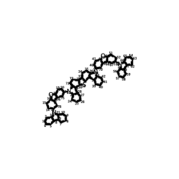 c1ccc2c(c1)c1ccccc1n2-c1ccc2oc3ccc(-n4c5ccccc5c5c6sc7c(ccc8c7c7ccccc7n8-c7ccc8oc9ccc(-n%10c%11ccccc%11c%11ccccc%11%10)cc9c8c7)c6ccc54)cc3c2c1